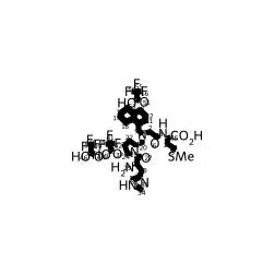 CSCCC(NC(=O)CN(Cc1cccc2ccccc12)C[C@@H]1CCCN1C(=O)[C@@H](N)Cc1c[nH]cn1)C(=O)O.O=C(O)C(F)(F)F.O=C(O)C(F)(F)F.O=C(O)C(F)(F)F